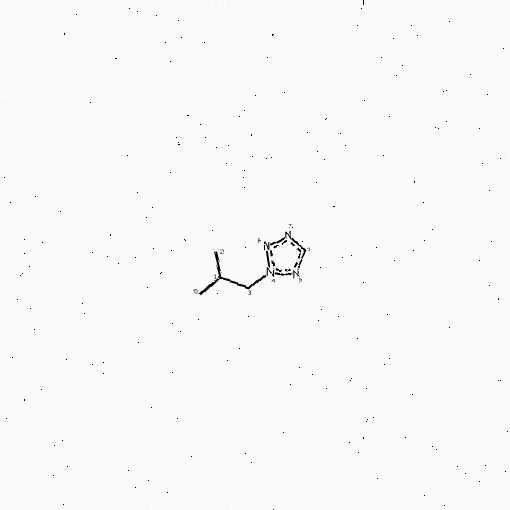 CC(C)Cn1ncnn1